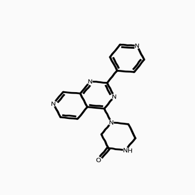 O=C1CN(c2nc(-c3ccncc3)nc3cnccc23)CCN1